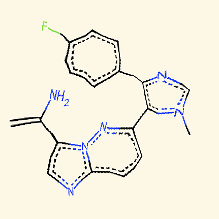 C=C(N)c1cnc2ccc(-c3c(-c4ccc(F)cc4)ncn3C)nn12